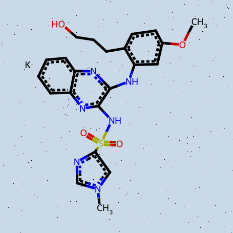 COc1ccc(CCCO)c(Nc2nc3ccccc3nc2NS(=O)(=O)c2cn(C)cn2)c1.[K]